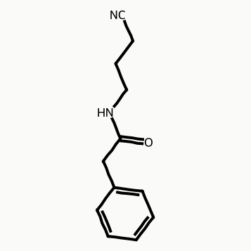 N#CCCCNC(=O)Cc1ccccc1